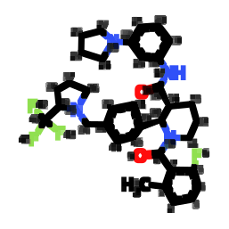 Cc1cccc(F)c1C(=O)N1CCC[C@H](C(=O)Nc2cccc(N3CCCC3)c2)[C@@H]1c1ccc(CN2CCCC2C(F)(F)F)cc1